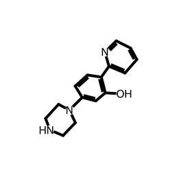 Oc1cc(N2CCNCC2)ccc1-c1ccccn1